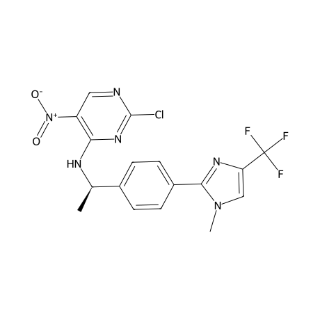 C[C@@H](Nc1nc(Cl)ncc1[N+](=O)[O-])c1ccc(-c2nc(C(F)(F)F)cn2C)cc1